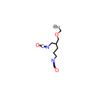 CCC(C)COCC(CCCN=C=O)CN=C=O